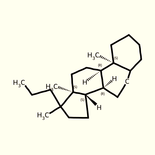 CCCC1(C)CC[C@H]2[C@@H]3CCC4CCCC[C@]4(C)[C@@H]3CC[C@@]21C